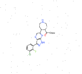 COC(=O)C1CCNCCC1c1cnc2c(-c3cccc(Cl)c3F)n[nH]c2n1